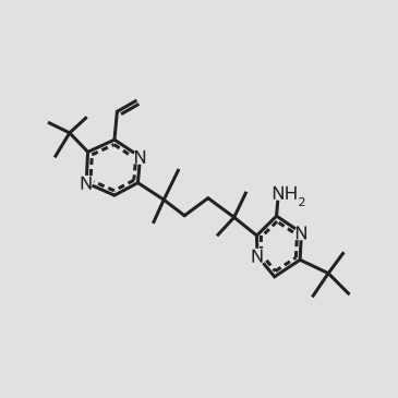 C=Cc1nc(C(C)(C)CCC(C)(C)c2ncc(C(C)(C)C)nc2N)cnc1C(C)(C)C